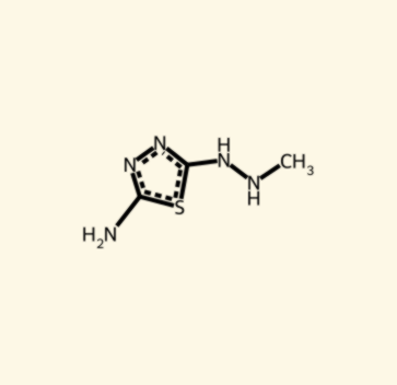 CNNc1nnc(N)s1